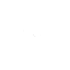 C=C(C)C(=O)N(CO)C(C)C